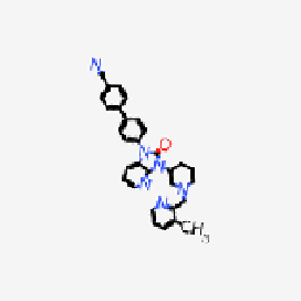 Cc1cccnc1CN1CCCC(n2c(=O)n(-c3ccc(-c4ccc(C#N)cc4)cc3)c3cccnc32)C1